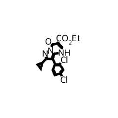 CCOC(=O)c1c[nH]c2c(-c3ccc(Cl)cc3Cl)c(C3CC3)nn2c1=O